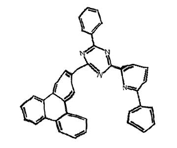 c1ccc(-c2cccc(-c3nc(-c4ccccc4)nc(-c4ccc5c6ccccc6c6ccccc6c5c4)n3)n2)cc1